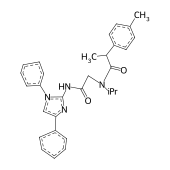 Cc1ccc(C(C)C(=O)N(CC(=O)Nc2nc(-c3ccccc3)cn2-c2ccccc2)C(C)C)cc1